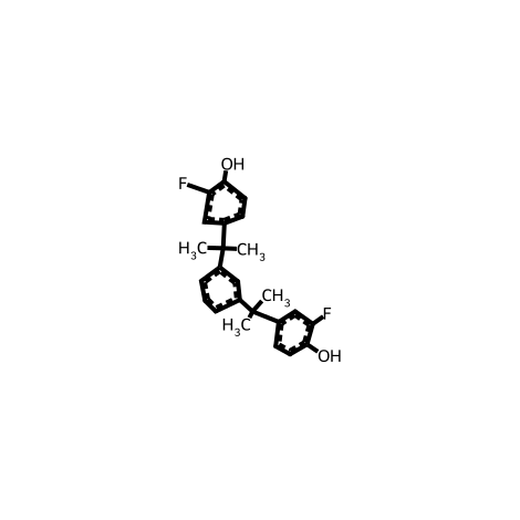 CC(C)(c1cccc(C(C)(C)c2ccc(O)c(F)c2)c1)c1ccc(O)c(F)c1